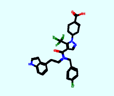 O=C(O)C1CCC(n2ncc(C(=O)N(CCc3cccc4[nH]ccc34)Cc3ccc(Cl)cc3)c2C(F)(F)F)CC1